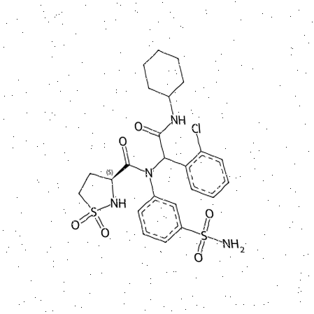 NS(=O)(=O)c1cccc(N(C(=O)[C@@H]2CCS(=O)(=O)N2)C(C(=O)NC2CCCCC2)c2ccccc2Cl)c1